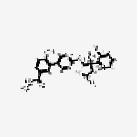 CNC(=O)c1ccc(O)c(-c2cnc(NC[C@@](C)(C[C@@H](C)F)c3ncccc3F)nc2)c1